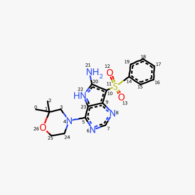 CC1(C)CN(c2ncnc3c(S(=O)(=O)c4ccccc4)c(N)[nH]c23)CCO1